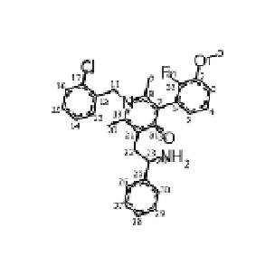 COc1cccc(-c2c(C)n(Cc3ccccc3Cl)c(C)c(CC(N)c3ccccc3)c2=O)c1F